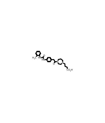 Cc1ccccc1NC(=O)Nc1ccc(CC(=O)N2CCCN(CCCC(=O)O)CC2)cc1